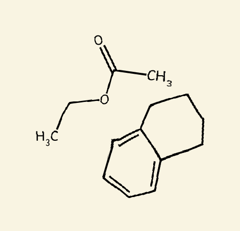 CCOC(C)=O.c1ccc2c(c1)CCCC2